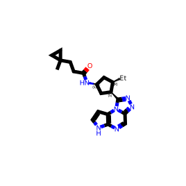 CC[C@@H]1C[C@H](NC(=O)CCC2(C)CC2)C[C@@H]1c1nnc2cnc3[nH]ccc3n12